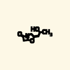 CC(O)/C=C1\CN2C(=O)CC2O1